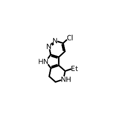 CCC1NCCc2[nH]c3nnc(Cl)cc3c21